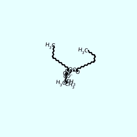 CCCCC/C=C\C/C=C\CCCCCCCCCC(=O)OC[C@H](COP(=O)([O-])OCC[N+](C)(C)C)OC(=O)CCCCCCCCC/C=C\CCCCCC